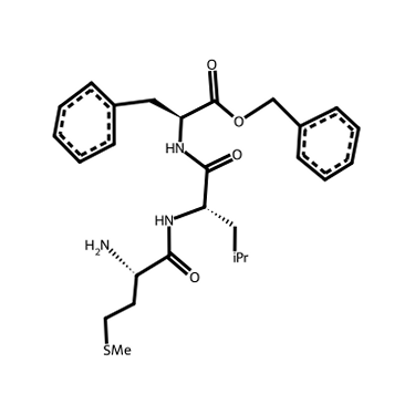 CSCC[C@H](N)C(=O)N[C@@H](CC(C)C)C(=O)N[C@@H](Cc1ccccc1)C(=O)OCc1ccccc1